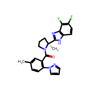 Cc1ccc(-n2cccn2)c(C(=O)N2CCC[C@@]2(C)c2nc3c(F)c(F)ccc3[nH]2)c1